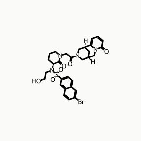 O=C(CN1CCC[C@H](N(CCO)S(=O)(=O)c2ccc3cc(Br)ccc3c2)C1=O)N1C[C@@H]2C[C@H](C1)c1cccc(=O)n1C2